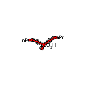 C=C(C)C(=O)OCCCCCCC1(C(=O)O)C=C(OCCCCCCOC(=O)CCC(=O)OCCCCCCOc2ccc([C@H]3CC[C@H](CCC)CC3)cc2)C=CC1OCCCCCCOC(=O)CCC(=O)OCCCCCCOc1ccc([C@H]2CC[C@H](CCC)CC2)cc1